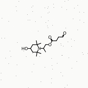 CC(COC(=O)CCC=O)N1C(C)(C)CC(O)CC1(C)C